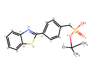 CCC(C)(C)OP(=O)(O)Cc1ccc(-c2nc3ccccc3s2)cc1